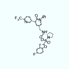 CC(C)n1cc(CNC(=O)[C@@H]2CCCN2S(=O)(=O)c2cc3cc(F)ccc3o2)cc(-c2ccc(C(F)(F)F)nc2)c1=O